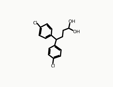 OC(O)CCC(c1ccc(Cl)cc1)c1ccc(Cl)cc1